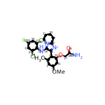 COc1cc(C)c(-c2nc3ccccn3c2Nc2c(Cl)cc(F)cc2Cl)c(OCC(N)=O)c1